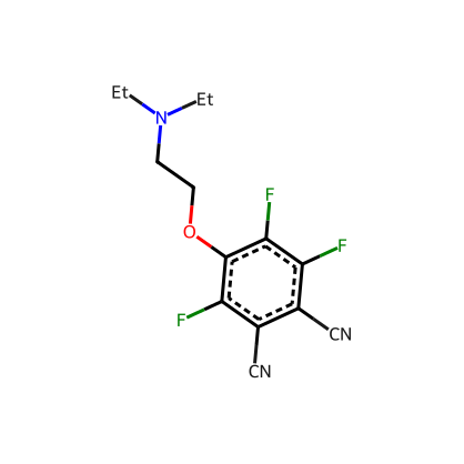 CCN(CC)CCOc1c(F)c(F)c(C#N)c(C#N)c1F